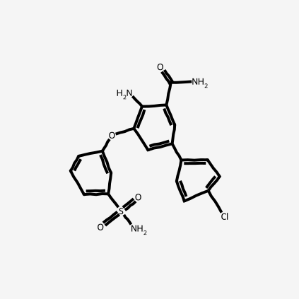 NC(=O)c1cc(-c2ccc(Cl)cc2)cc(Oc2cccc(S(N)(=O)=O)c2)c1N